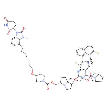 C#Cc1c(F)ccc2cccc(-c3ncc4c(N5CC6CCC(C5)N6C(=O)OCCCC)nc(OC[C@@]56CCCN5[C@H](COC(=O)N5CCC(OCCCCCCCc7cccc8c7n(C)c(=O)n8C7CCC(=O)NC7=O)CC5)CC6)nc4c3F)c12